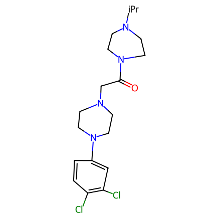 CC(C)N1CCN(C(=O)CN2CCN(c3ccc(Cl)c(Cl)c3)CC2)CC1